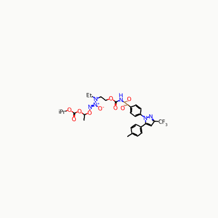 CCN(CCOC(=O)NS(=O)(=O)c1ccc(-n2nc(C(F)(F)F)cc2-c2ccc(C)cc2)cc1)/[N+]([O-])=N/OC(C)OC(=O)OC(C)C